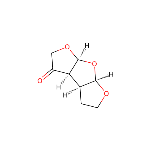 O=C1CO[C@H]2O[C@H]3OCC[C@H]3[C@@H]12